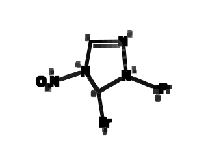 CCCN1N=CN([N+](=O)[O-])C1Br